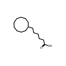 O=C(O)CCCCCC1CCCCCCCCC1